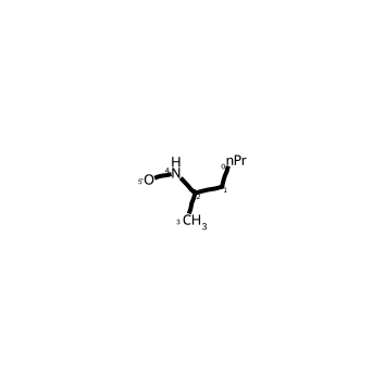 CCCC[C](C)N[O]